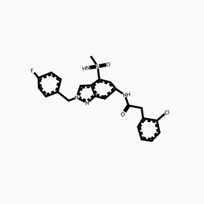 CS(=N)(=O)c1cc(NC(=O)Cc2ccccc2Cl)cc2nn(Cc3ccc(F)cc3)cc12